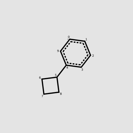 [c]1cccc(C2CCC2)c1